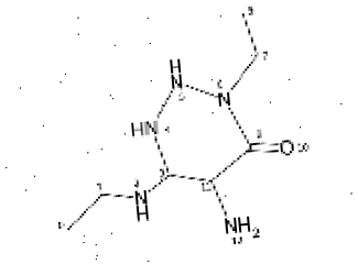 CCNC1NNN(CC)C(=O)C1N